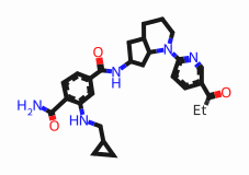 CCC(=O)c1ccc(N2CCCC3CC(NC(=O)c4ccc(C(N)=O)c(NCC5CC5)c4)CC32)nc1